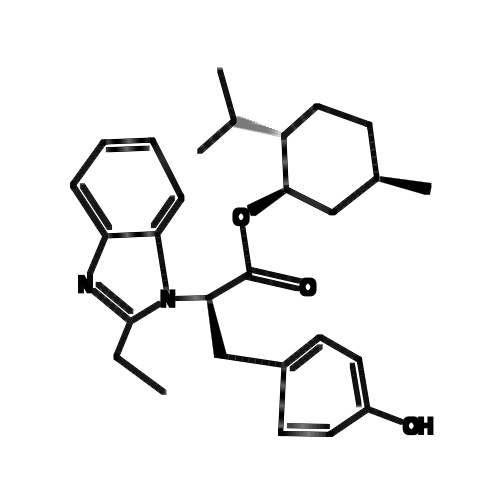 CCc1nc2ccccc2n1[C@H](Cc1ccc(O)cc1)C(=O)O[C@@H]1C[C@H](C)CC[C@H]1C(C)C